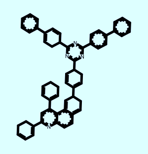 C1=CCCC(c2cc(C3=CCCC=C3)c3c4c(ccc3n2)=CCC(C2=CCC(c3nc(-c5ccc(-c6ccccc6)cc5)nc(C5C=CC(c6ccccc6)=CC5)n3)C=C2)C=4)=C1